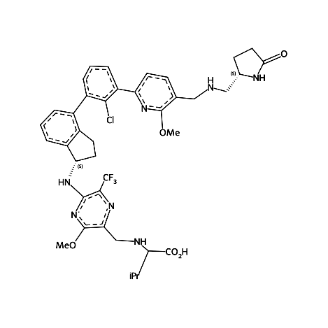 COc1nc(-c2cccc(-c3cccc4c3CC[C@@H]4Nc3nc(OC)c(CNC(C(=O)O)C(C)C)nc3C(F)(F)F)c2Cl)ccc1CNC[C@@H]1CCC(=O)N1